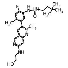 Cc1cc(F)c(NC(=O)NCCC(C)(C)C)cc1-c1cc2cnc(NCCO)cc2nc1C